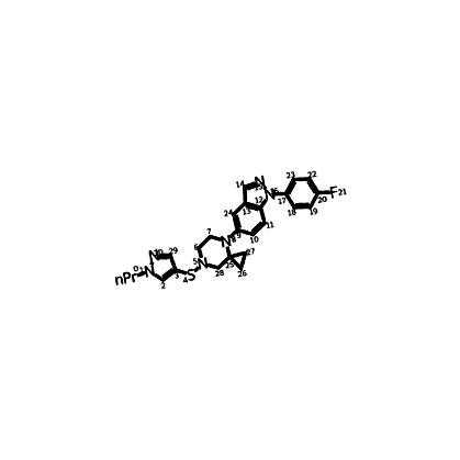 CCCn1cc(SN2CCN(c3ccc4c(cnn4-c4ccc(F)cc4)c3)C3(CC3)C2)cn1